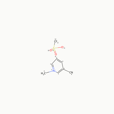 C[n+]1cccc(C#N)c1.O=S(=O)([O-])C(F)(F)F